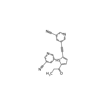 CCC(=O)C1=CC=C(C#Cc2cncc(C#N)c2)[SH]1c1cncc(C#N)c1